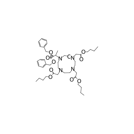 CCCCOC(=O)CN1CCN(CC(=O)OCCCC)CCN(C(C)P(=O)(OCc2ccccc2)OCc2ccccc2)CCN(CC(=O)OCCCC)CC1